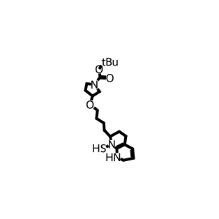 CC(C)(C)OC(=O)N1CCC(OCCCCC2CCC3=C(NCC=C3)N2S)C1